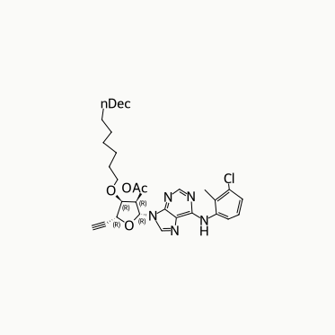 C#C[C@H]1O[C@@H](n2cnc3c(Nc4cccc(Cl)c4C)ncnc32)[C@H](OC(C)=O)[C@@H]1OCCCCCCCCCCCCCCCC